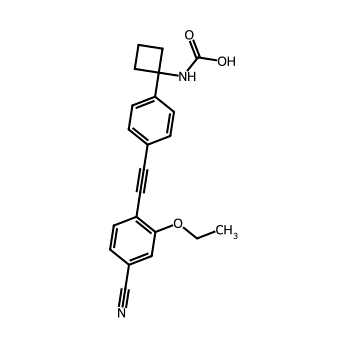 CCOc1cc(C#N)ccc1C#Cc1ccc(C2(NC(=O)O)CCC2)cc1